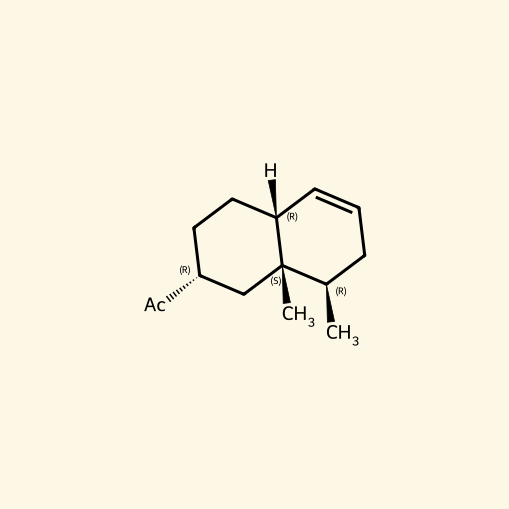 CC(=O)[C@@H]1CC[C@@H]2C=CC[C@@H](C)[C@]2(C)C1